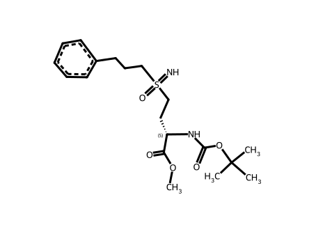 COC(=O)[C@H](CCS(=N)(=O)CCCc1ccccc1)NC(=O)OC(C)(C)C